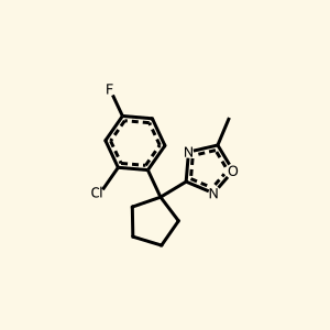 Cc1nc(C2(c3ccc(F)cc3Cl)CCCC2)no1